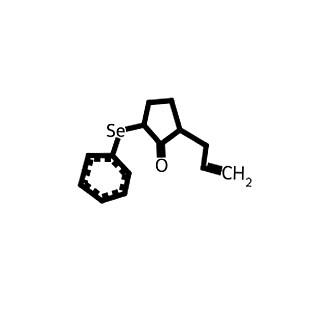 C=CCC1CCC([Se]c2ccccc2)C1=O